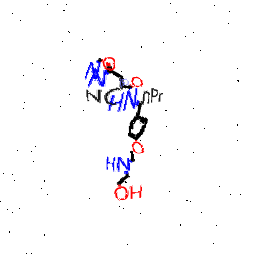 CCCC(NC(=O)/C(C#N)=C/c1nnco1)c1ccc(OCCNCCO)cc1